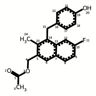 CC(=O)OCc1cc2ccc(F)cc2c(Cc2ccc(O)cc2)c1C